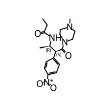 CCC(=O)N[C@H](C)[C@@H](C(=O)N1CCN(C)CC1)c1ccc([N+](=O)[O-])cc1